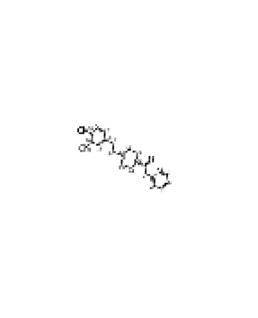 O=C(Cc1ccccn1)N1CCN(CCc2ccc(Cl)c(Cl)c2)CC1